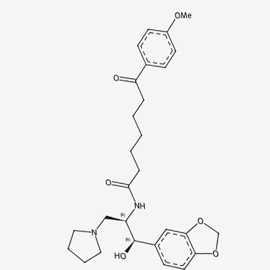 COc1ccc(C(=O)CCCCCC(=O)N[C@H](CN2CCCC2)[C@H](O)c2ccc3c(c2)OCO3)cc1